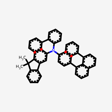 CC1(C)c2ccccc2-c2cc(N(c3ccc(-c4cccc5cccc(-c6ccccc6)c45)cc3)c3ccccc3-c3ccccc3)ccc21